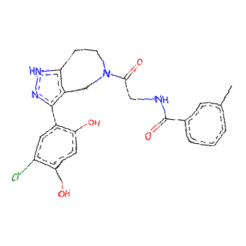 Cc1cccc(C(=O)NCC(=O)N2CCc3[nH]nc(-c4cc(Cl)c(O)cc4O)c3C2)c1